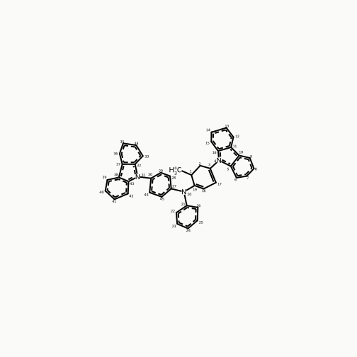 CC1CC(n2c3ccccc3c3ccccc32)=CC=C1N(c1ccccc1)c1ccc(-n2c3ccccc3c3ccccc32)cc1